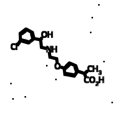 CC(C(=O)O)c1ccc(OCCNCC(O)c2cccc(Cl)c2)cc1